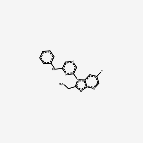 CCc1nc2ncc(Cl)cc2n1-c1cncc(Nc2ccccc2)n1